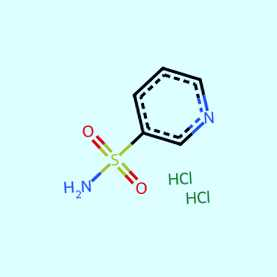 Cl.Cl.NS(=O)(=O)c1cccnc1